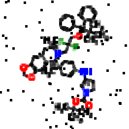 C[C@@H]1Cc2cc3c(cc2[C@@H](C2(C)C=CC(N[C@H]4CCN(C(=O)OC(C)(C)C)C4)=CC2)N1CC(F)(F)CO[Si](c1ccccc1)(c1ccccc1)C(C)(C)C)OCO3